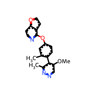 COc1cnnc(C)c1-c1ccc(Oc2nccc3occc23)cc1C